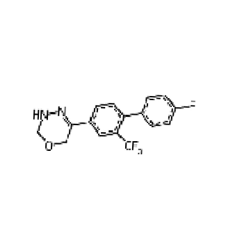 Fc1ccc(-c2ccc(C3=NNCOC3)cc2C(F)(F)F)cc1